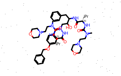 CC(C)[C@H](NC(=O)N(C)CCN1CCOCC1)C(=O)NC(Cc1ccccc1)C(O)CN(Cc1ccc(OCc2ccccc2)cc1)NC(=O)[C@@H](NC(=O)N(C)CCN1CCOCC1)C(C)C